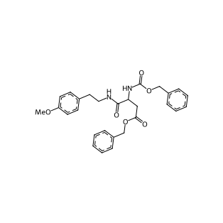 COc1ccc(CCNC(=O)C(CC(=O)OCc2ccccc2)NC(=O)OCc2ccccc2)cc1